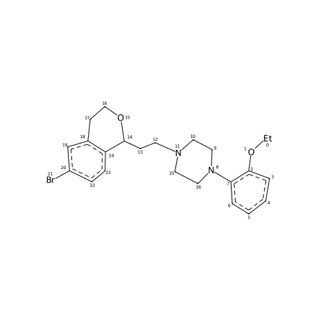 CCOc1ccccc1N1CCN(CCC2OCCc3cc(Br)ccc32)CC1